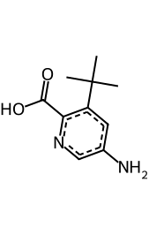 CC(C)(C)c1cc(N)cnc1C(=O)O